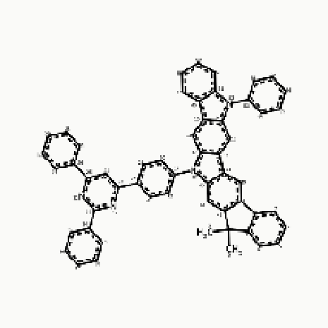 CC1(C)c2ccccc2-c2cc3c4cc5c(cc4n(-c4ccc(-c6cc(-c7ccccc7)nc(-c7ccccc7)n6)cc4)c3cc21)c1ccccc1n5-c1ccccc1